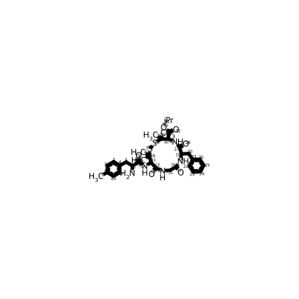 Cc1ccc(CC(N)C(=O)NC2C(=O)NCC(=O)NC(Cc3ccccc3)C(=O)NC(C(=O)OC(C)C)C(C)(C)SSC2(C)C)cc1